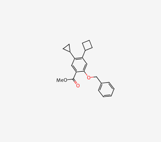 COC(=O)c1cc(C2CC2)c(C2CCC2)cc1OCc1ccccc1